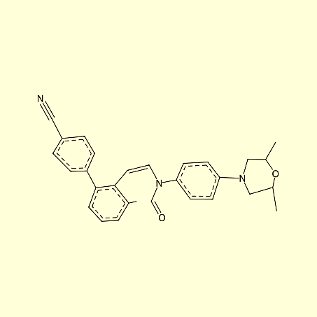 Cc1cccc(-c2ccc(C#N)cc2)c1/C=C\N(C=O)c1ccc(N2CC(C)OC(C)C2)cc1